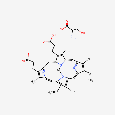 C=CC1=C(C)C2=NC/1=C\c1c(C)c(C=C)c3[n]1[Fe][n]1/c(c(C)c(CCC(=O)O)/c1=C/C1=NC(=C\3)/C(C)=C1CCC(=O)O)=C\2.NC(CO)C(=O)O